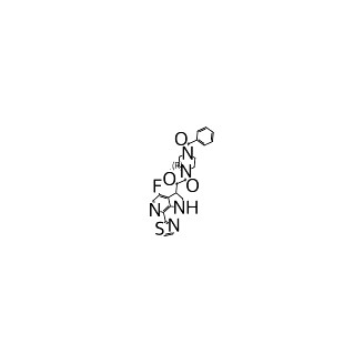 C[C@@H]1CN(C(=O)c2ccccc2)CCN1C(=O)C(=O)C1CNc2c(-c3nccs3)ncc(F)c21